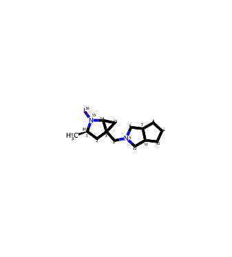 C[C@@H]1CC2(CN3CC4CCCC4C3)CC2N1I